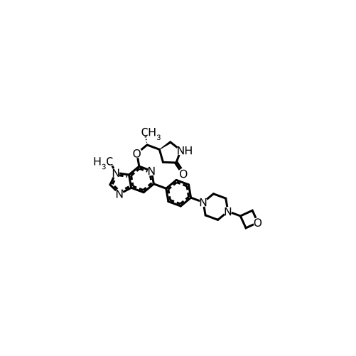 C[C@@H](Oc1nc(-c2ccc(N3CCN(C4COC4)CC3)cc2)cc2ncn(C)c12)[C@H]1CNC(=O)C1